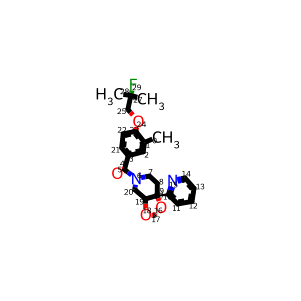 Cc1cc(C(=O)N2CC[C@]3(c4ccccn4)OCOC3C2)ccc1OCC(C)(C)F